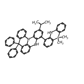 CC(C)c1cc(-c2cccc3c2Nc2ccccc2S3(C)C)c2c(c1)N1c3ccccc3C(c3ccccc3)(c3ccccc3)c3cccc(c31)B2